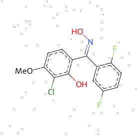 COc1ccc(/C(=N\O)c2cc(F)ccc2F)c(O)c1Cl